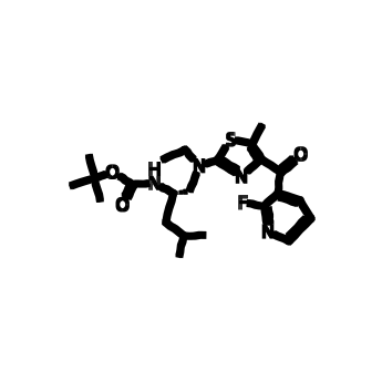 CCN(C[C@H](CC(C)C)NC(=O)OC(C)(C)C)c1nc(C(=O)c2cccnc2F)c(C)s1